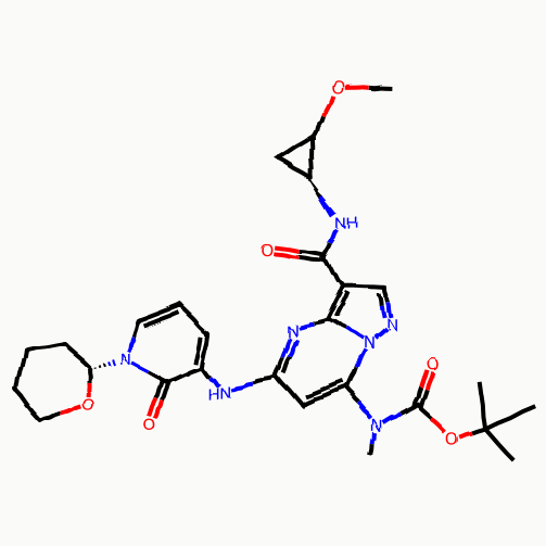 COC1C[C@@H]1NC(=O)c1cnn2c(N(C)C(=O)OC(C)(C)C)cc(Nc3cccn([C@H]4CCCCO4)c3=O)nc12